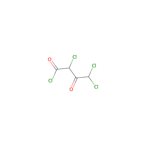 O=C(Cl)C(Cl)C(=O)C(Cl)Cl